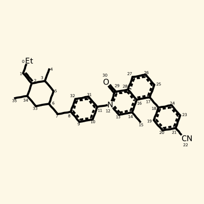 CCC=C1C(C)CC(Cc2ccc(-n3cc(C)c4c(-c5ccc(C#N)cc5)cccc4c3=O)cc2)CC1C